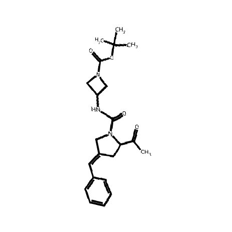 CC(=O)C1C/C(=C\c2ccccc2)CN1C(=O)NC1CN(C(=O)OC(C)(C)C)C1